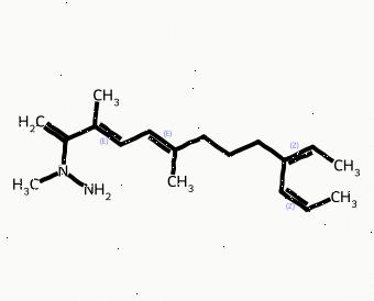 C=C(/C(C)=C/C=C(\C)CCCC(/C=C\C)=C/C)N(C)N